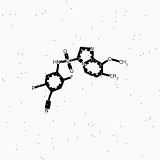 COc1c(C)ccn2c(S(=O)(=O)Nc3cc(F)c(C#N)cc3F)cnc12